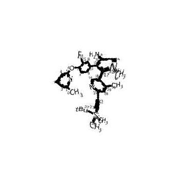 Cc1cccc(Oc2ccc(-c3c(N)cn(C)c3-c3cnc(C#C[Si](C)(C)C(C)(C)C)cc3C)cc2F)n1